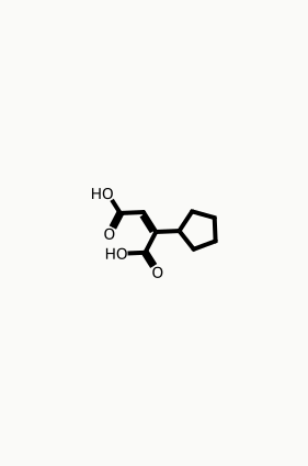 O=C(O)C=C(C(=O)O)C1CCCC1